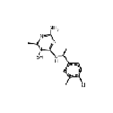 Cc1cc(C(C)NC2=NC(N)=NC(C)N2S)ccc1Cl